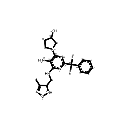 CC1=NONC1CNc1nc(C(F)(F)c2ccccc2)nc(N2CCC(S)C2)c1N